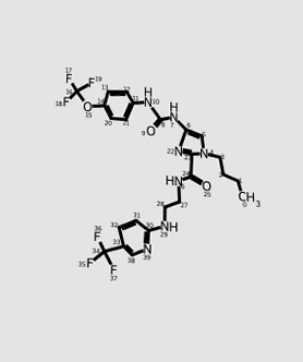 CCCCn1cc(NC(=O)Nc2ccc(OC(F)(F)F)cc2)nc1C(=O)NCCNc1ccc(C(F)(F)F)cn1